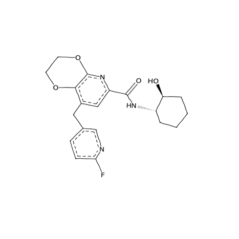 O=C(N[C@H]1CCCC[C@@H]1O)c1cc(Cc2ccc(F)nc2)c2c(n1)OCCO2